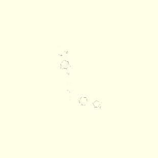 Cc1noc(C)c1-c1ccc(C2CC2NCC2CCN(c3ncc(C(=O)NO)cn3)CC2)cc1